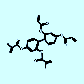 C=CC(=O)Oc1ccc(-c2ccc(OC(=O)C(=C)C)cc2OC(=O)C(=C)C)c(OC(=O)C=C)c1